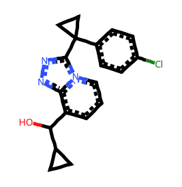 OC(c1cccn2c(C3(c4ccc(Cl)cc4)CC3)nnc12)C1CC1